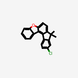 CC1(C)c2cc(Cl)ccc2-c2c1ccc1oc3ccccc3c21